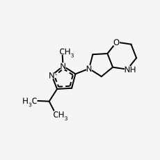 CC(C)c1cc(N2CC3NCCOC3C2)n(C)n1